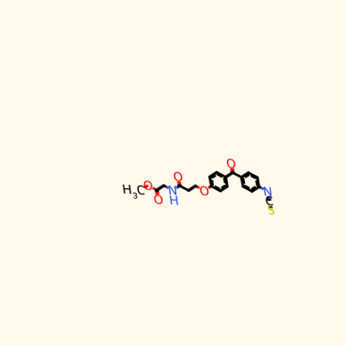 COC(=O)CNC(=O)CCOc1ccc(C(=O)c2ccc(N=C=S)cc2)cc1